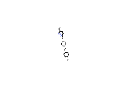 CCc1ccc(CC[C@H]2CC[C@H](CC[C@H]3CC[C@H](CC)CC3)CC2)nc1